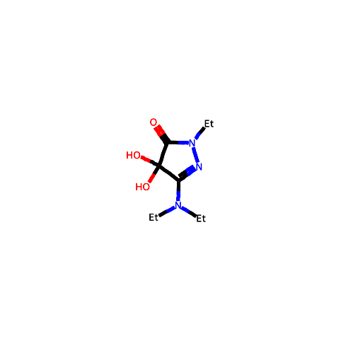 CCN(CC)C1=NN(CC)C(=O)C1(O)O